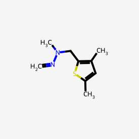 C=NN(C)Cc1sc(C)cc1C